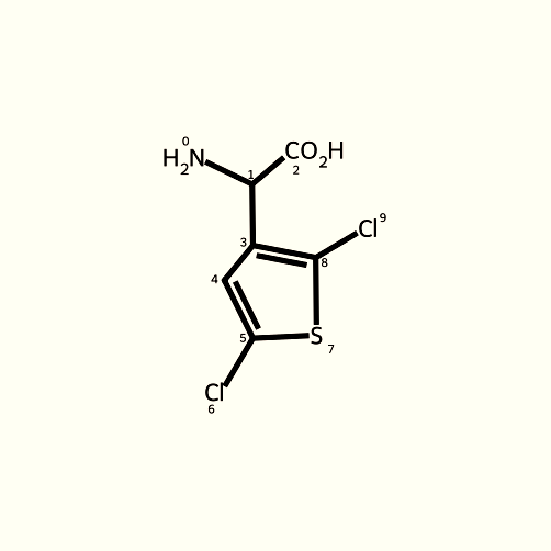 NC(C(=O)O)c1cc(Cl)sc1Cl